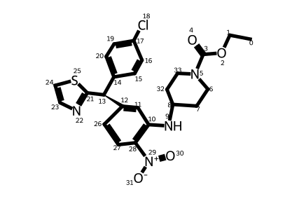 CCOC(=O)N1CCC(Nc2cc([C@H](c3ccc(Cl)cc3)c3nccs3)ccc2[N+](=O)[O-])CC1